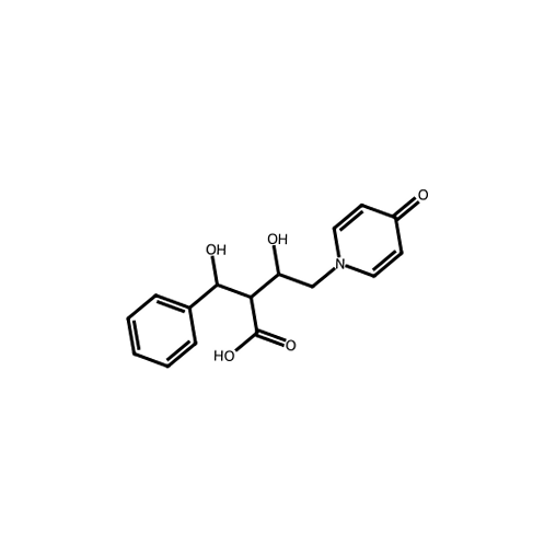 O=C(O)C(C(O)Cn1ccc(=O)cc1)C(O)c1ccccc1